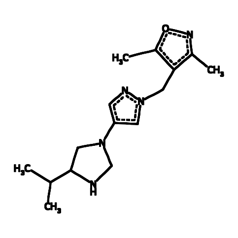 Cc1noc(C)c1Cn1cc(N2CNC(C(C)C)C2)cn1